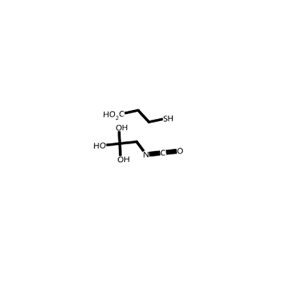 O=C(O)CCS.O=C=NCC(O)(O)O